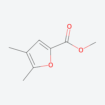 COC(=O)c1cc(C)c(C)o1